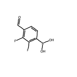 O=Cc1ccc(B(O)O)c(F)c1F